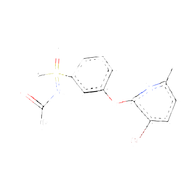 Cc1ccc(Br)c(Oc2cccc(S(C)(=O)=NC(=O)C(C)(C)C)c2)n1